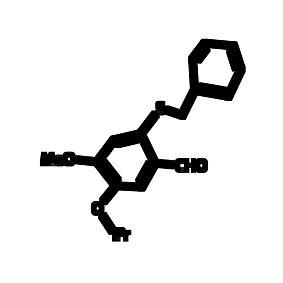 COc1cc(SCc2ccccc2)c(C=O)cc1OC(C)C